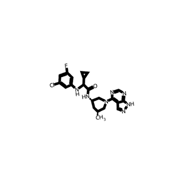 C[C@H]1C[C@@H](NC(=O)C(Nc2cc(F)cc(Cl)c2)C2CC2)CN(c2ncnc3[nH]ncc23)C1